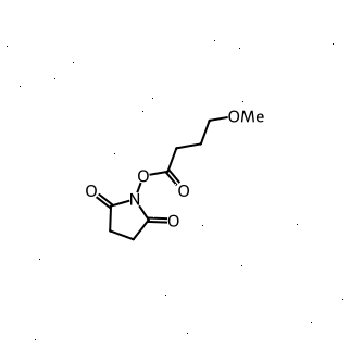 COCCCC(=O)ON1C(=O)CCC1=O